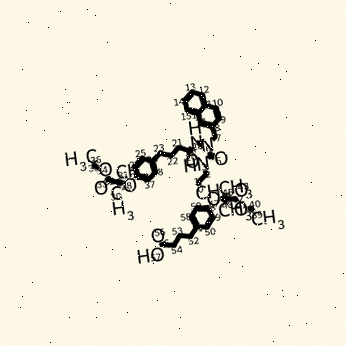 CCCNC(=O)N(Cc1ccc2ccccc2c1)NC(=O)CCCc1ccc(OC(C)(C)C(=O)OCC)cc1.CCOC(=O)C(C)(C)Oc1ccc(CCCC(=O)O)cc1